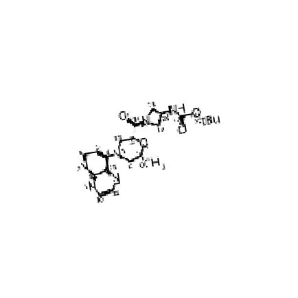 C[C@@H]1CN(c2ccnc3nccnc23)C[C@H](C(=O)N2CC(NC(=O)OC(C)(C)C)C2)O1